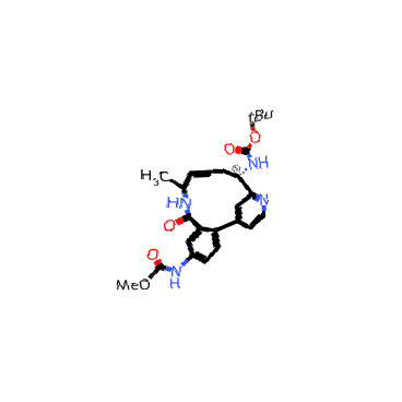 COC(=O)Nc1ccc2c(c1)C(=O)NC(C)C=CC[C@H](NC(=O)OC(C)(C)C)c1cc-2ccn1